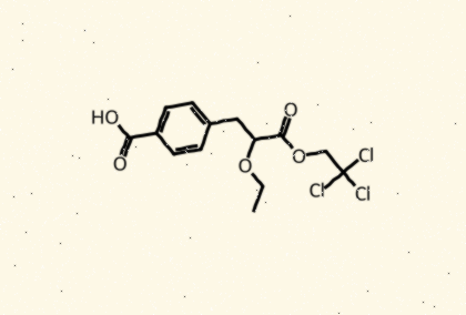 CCOC(Cc1ccc(C(=O)O)cc1)C(=O)OCC(Cl)(Cl)Cl